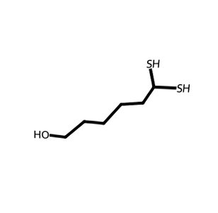 OCCCCCC(S)S